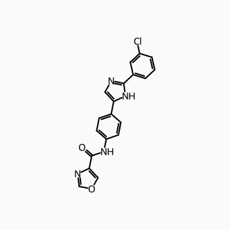 O=C(Nc1ccc(-c2cnc(-c3cccc(Cl)c3)[nH]2)cc1)c1cocn1